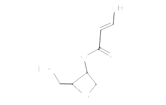 CC=CC(=O)OC1COC1CC